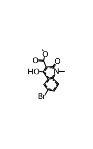 COC(=O)c1c(O)c2cc(Br)ccc2n(C)c1=O